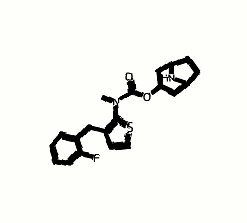 CN(C(=O)OC1CC2CCC(C1)N2)c1sccc1Cc1ccccc1F